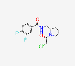 O=C(NCC1CCCN1C(=O)CCl)c1ccc(F)c(F)c1